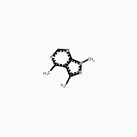 Cc1ncnc2c1c(C)nn2C